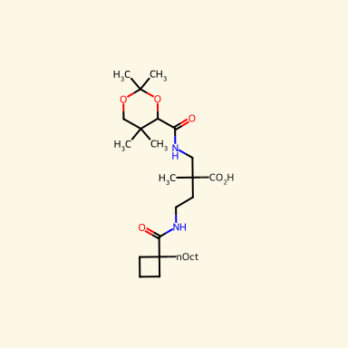 CCCCCCCCC1(C(=O)NCCC(C)(CNC(=O)C2OC(C)(C)OCC2(C)C)C(=O)O)CCC1